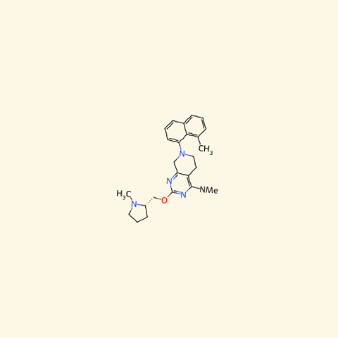 CNc1nc(OC[C@@H]2CCCN2C)nc2c1CCN(c1cccc3cccc(C)c13)C2